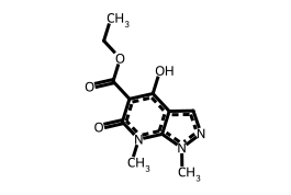 CCOC(=O)c1c(O)c2cnn(C)c2n(C)c1=O